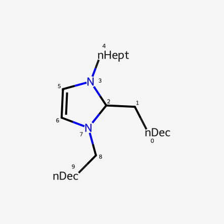 CCCCCCCCCCCC1N(CCCCCCC)C=CN1CCCCCCCCCCC